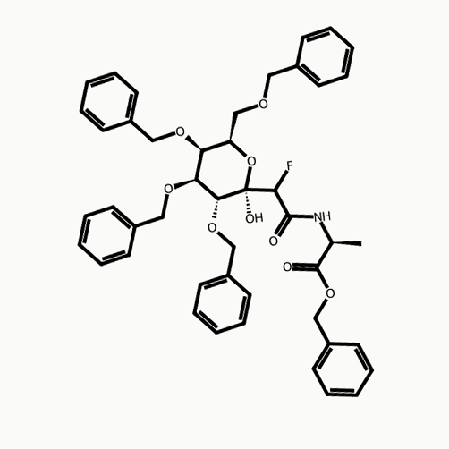 C[C@H](NC(=O)C(F)[C@]1(O)O[C@H](COCc2ccccc2)[C@H](OCc2ccccc2)[C@H](OCc2ccccc2)[C@H]1OCc1ccccc1)C(=O)OCc1ccccc1